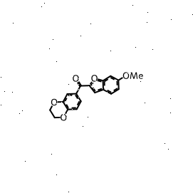 COc1ccc2cc(C(=O)c3ccc4c(c3)OCCO4)oc2c1